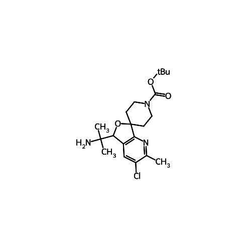 Cc1nc2c(cc1Cl)C(C(C)(C)N)OC21CCN(C(=O)OC(C)(C)C)CC1